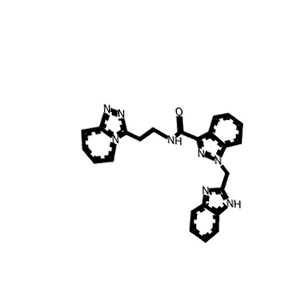 O=C(NCCc1nnc2ccccn12)c1nn(Cc2nc3ccccc3[nH]2)c2ccccc12